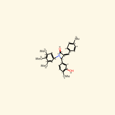 COc1ccc(C2C(=Cc3ccc(C(C)(C)C)cc3)C(=O)N2c2cc(OC)c(OC)c(OC)c2)cc1O